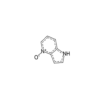 [O-][n+]1cccc2[nH]ccc21